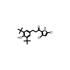 CC(C)(C)c1cc(CCC(=O)c2[nH]c(Cl)cc2Cl)cc(C(C)(C)C)c1O